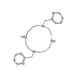 c1ccc(CN2CCCNCCN(Cc3ccccn3)CCCNCC2)nc1